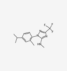 CNc1nc(C(F)(F)F)nn1-c1ccc(C(C)C)cc1C